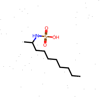 [CH2]C(CCCCCCCC)NS(=O)(=O)O